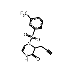 C#CCC1C(=O)NC=CN1S(=O)(=O)c1cccc(C(F)(F)F)c1